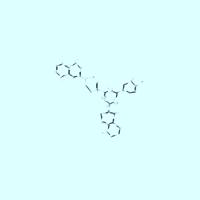 Clc1ccc(-c2nc(C3=CCC(c4ccc5ccccc5c4)C=C3)nc(-c3ccc4ccccc4c3)n2)cc1